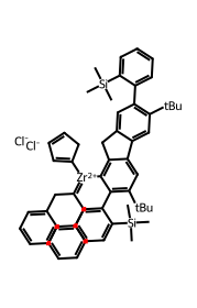 CC(C)(C)c1cc2c(cc1-c1ccccc1[Si](C)(C)C)Cc1c-2cc(C(C)(C)C)c(-c2ccccc2[Si](C)(C)C)[c]1[Zr+2]([C]1=CC=CC1)=[C](Cc1ccccc1)Cc1ccccc1.[Cl-].[Cl-]